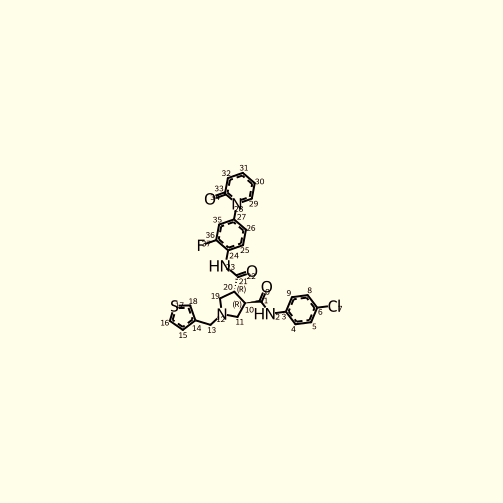 O=C(Nc1ccc(Cl)cc1)[C@H]1CN(Cc2ccsc2)C[C@@H]1C(=O)Nc1ccc(-n2ccccc2=O)cc1F